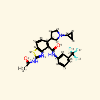 CC(=O)Nc1nc2c(C(=O)Nc3[c]ccc(C(F)(F)F)c3)c(C3CCN(C4CC4)C3)ccc2s1